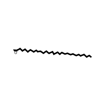 CCCCCCCCCCCCCCCCCCCCCCCCCCCCC1CO1